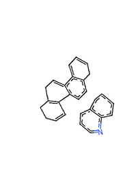 C1=CCc2ccc3c(c2=C1)=CCC1=C3C=CCC1.c1ccc2ncccc2c1